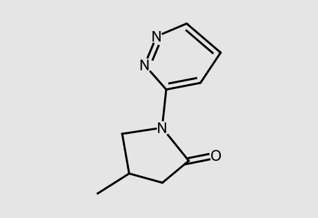 CC1CC(=O)N(c2cccnn2)C1